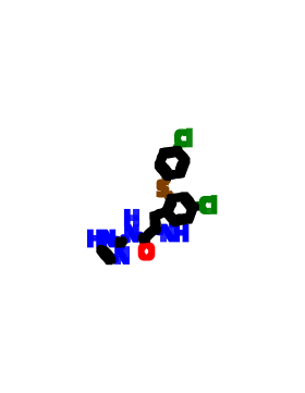 O=C(Nc1ncc[nH]1)c1cc2c(Sc3ccc(Cl)cc3)cc(Cl)cc2[nH]1